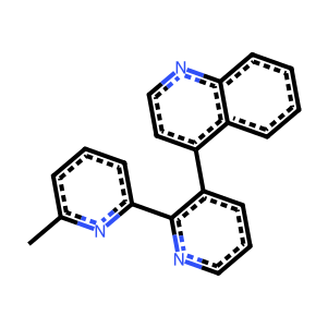 Cc1cccc(-c2ncccc2-c2ccnc3ccccc23)n1